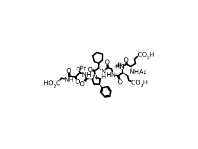 CCCC(NC(=O)[C@@H]1C[C@H](c2ccccc2)CN1C(=O)[C@@H](NC(=O)[C@@H](NC(=O)[C@H](CCC(=O)O)NC(=O)[C@H](CCC(=O)O)NC(C)=O)C(C)C)C1CCCCC1)C(=O)C(=O)NCC(=O)O